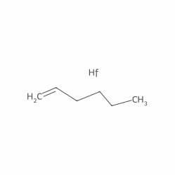 C=CCCCC.[Hf]